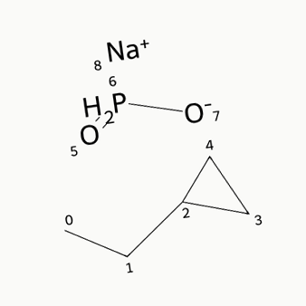 CCC1CC1.O=[PH2][O-].[Na+]